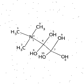 C[N+](C)(C)C(O)(O)C(O)(O)O